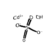 Cl.O=S(=O)([O-])[O-].[Cd+2]